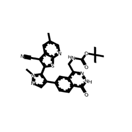 Cc1cnc2sc(-c3c(-c4ccc5c(=O)[nH]nc(CNC(=O)OC(C)(C)C)c5c4)cnn3C)c(C#N)c2c1